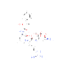 CC(C)CC(NC(=O)C(O)Cc1ccccc1)C(=O)NC(CCCNC(=N)N)C(=O)NC(CC(N)=O)C(=O)O